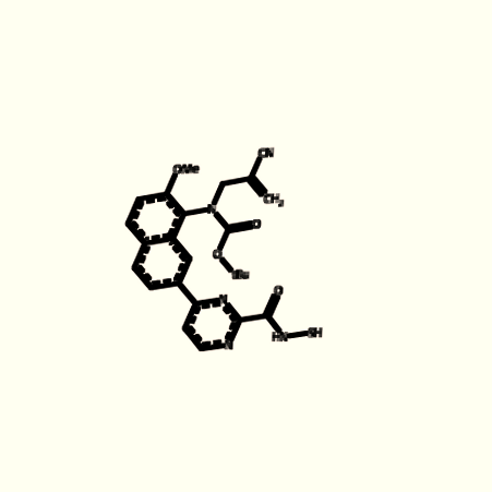 C=C(C#N)CN(C(=O)OC(C)(C)C)c1c(OC)ccc2ccc(-c3ccnc(C(=O)NS)n3)cc12